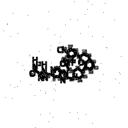 NC(=O)c1nnc(-c2cc3nc(CN4CCC(c5cccc6c5OC(c5ccc(Cl)cc5F)C=C6)CC4)n(CC4CCO4)c3cn2)[nH]1